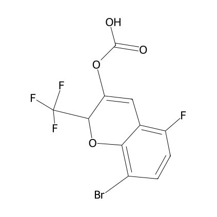 O=C(O)OC1=Cc2c(F)ccc(Br)c2OC1C(F)(F)F